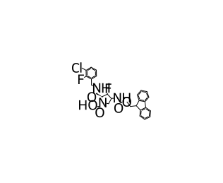 O=C(N[C@H]1CN(C(=O)O)[C@@H](C(=O)NCc2cccc(Cl)c2F)[C@H]1F)OCC1c2ccccc2-c2ccccc21